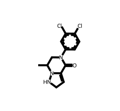 CC1CN(c2ccc(Cl)c(Cl)c2)C(=O)C2=CCNN21